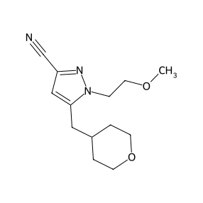 COCCn1nc(C#N)cc1CC1CCOCC1